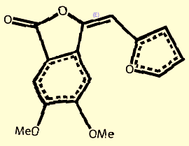 COc1cc2c(cc1OC)/C(=C\c1ccco1)OC2=O